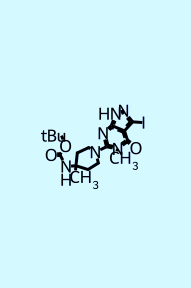 Cn1c(N2CCC(C)(NC(=O)OC(C)(C)C)CC2)nc2[nH]nc(I)c2c1=O